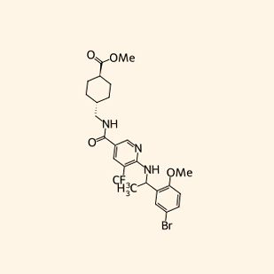 COc1ccc(Br)cc1C(C)Nc1ncc(C(=O)NC[C@H]2CC[C@H](C(=O)OC)CC2)cc1C(F)(F)F